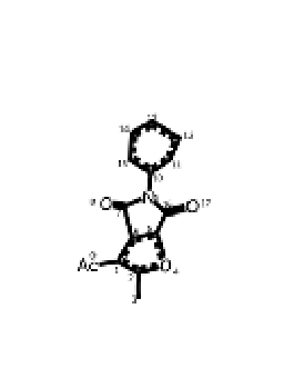 CC(=O)c1c(C)oc2c1C(=O)N(c1ccccc1)C2=O